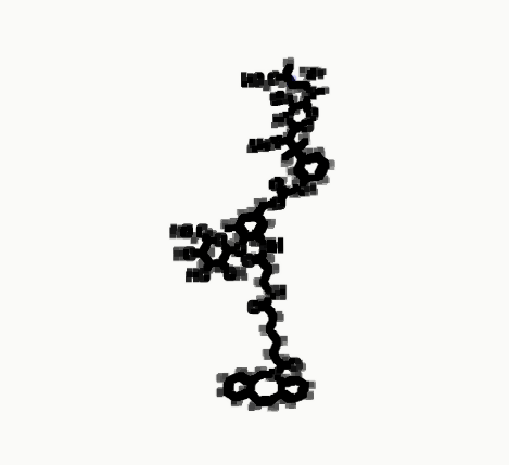 CNC(C(=O)N[C@H](C(=O)N(C)[C@H](/C=C(\C)C(=O)O)C(C)C)C(C)(C)C)C(C)(C)c1cccc(NC(=O)OCc2cc(C)c(OC3OC(C(=O)O)C(O)C(O)C3O)c(NC(=O)CCNC(=O)CCCCC(=O)N3Cc4ccccc4C#Cc4ccccc43)c2)c1